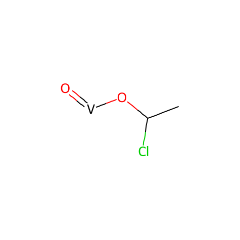 CC(Cl)[O][V]=[O]